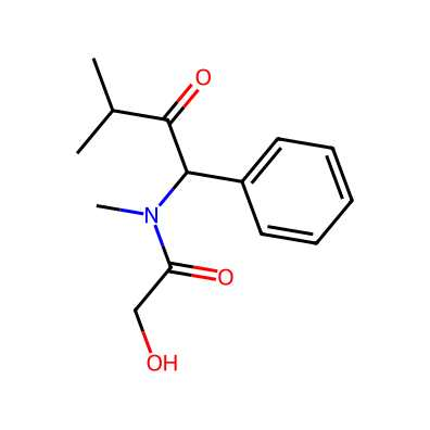 CC(C)C(=O)C(c1ccccc1)N(C)C(=O)CO